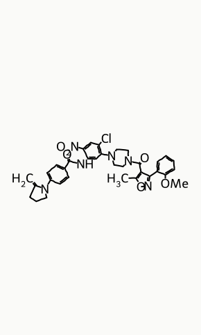 C=C1CCCN1c1ccc(C(=O)Nc2cc(N3CCN(C(=O)c4c(-c5ccccc5OC)noc4C)CC3)c(Cl)cc2[N+](=O)[O-])cc1